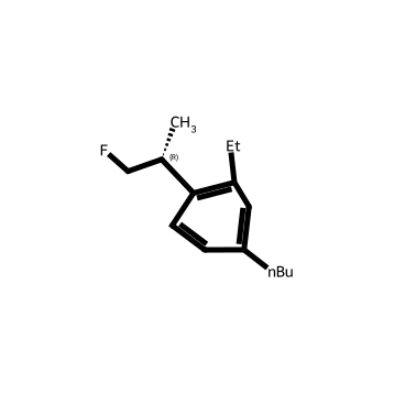 CCCCc1ccc([C@@H](C)CF)c(CC)c1